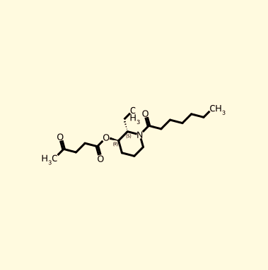 CCCCCCC(=O)N1CCC[C@@H](OC(=O)CCC(C)=O)[C@@H]1CC